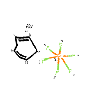 F[P-](F)(F)(F)(F)F.[CH]1C=CC=C1.[Ru]